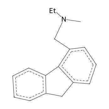 CCN(C)Cc1cccc2c1-c1ccccc1C2